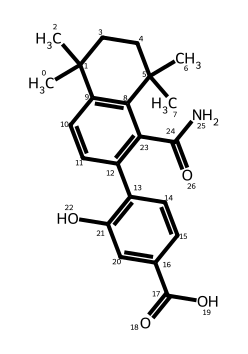 CC1(C)CCC(C)(C)c2c1ccc(-c1ccc(C(=O)O)cc1O)c2C(N)=O